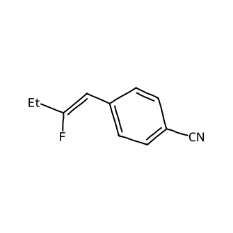 CC/C(F)=C/c1ccc(C#N)cc1